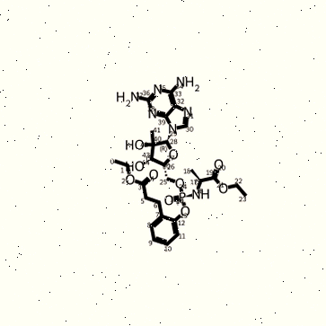 CCOC(=O)CCc1ccccc1O[P@@](=O)(N[C@@H](C)C(=O)OCC)OC[C@H]1O[C@@H](n2cnc3c(N)nc(N)nc32)C(C)(O)[C@H]1O